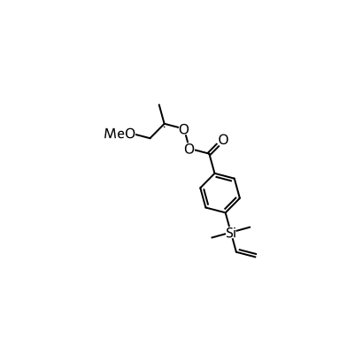 C=C[Si](C)(C)c1ccc(C(=O)OO[C](C)COC)cc1